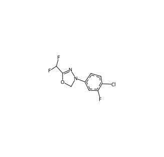 Fc1cc(N2COC(C(F)F)=N2)ccc1Cl